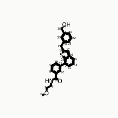 COCCNC(=O)c1cccc(-c2cccc3cc(Cc4cccc(CO)c4)sc23)c1